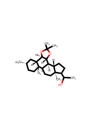 CC(O)C1CC[C@H]2[C@@H]3[C@H]4OC(C)(C)O[C@@H]4[C@H]4C[C@@H](C)CC[C@]4(C)[C@H]3CC[C@]12C